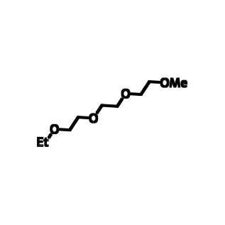 [CH2]COCCOCCOCCO[CH2]